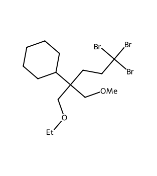 CCOCC(CCC(Br)(Br)Br)(COC)C1CCCCC1